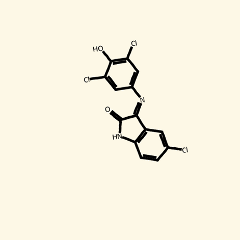 O=C1Nc2ccc(Cl)cc2C1=Nc1cc(Cl)c(O)c(Cl)c1